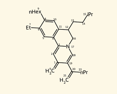 C=C1C=C2c3cc(CC)c(CCCCCC)cc3C(CCC(C)C)CN2C=C1C(=C)CCC